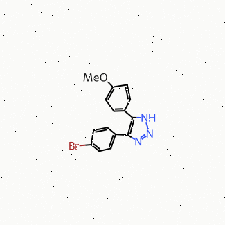 COc1ccc(-c2[nH]nnc2-c2ccc(Br)cc2)cc1